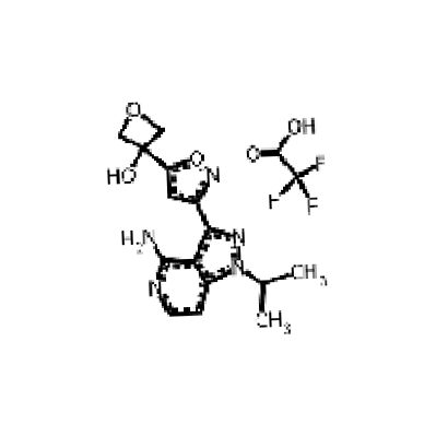 CC(C)n1nc(-c2cc(C3(O)COC3)on2)c2c(N)nccc21.O=C(O)C(F)(F)F